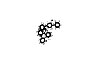 Brc1ccccc1-c1ccc2c3ccccc3n(-c3ccccc3-c3ccccc3-c3ccccc3)c2c1